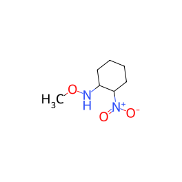 CONC1CCCCC1[N+](=O)[O-]